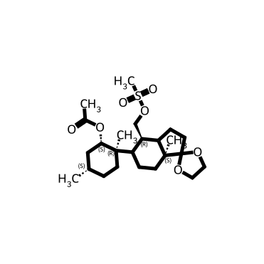 CC(=O)O[C@H]1C[C@@H](C)CC[C@]1(C)C1CC[C@@]2(C)C(CCC23OCCO3)[C@@H]1COS(C)(=O)=O